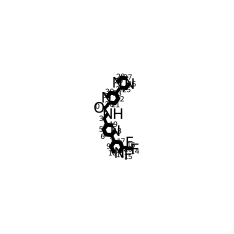 O=C(NCc1ccc(-c2ccnc(C(F)(F)F)c2)nc1)c1ccc(-c2cnccn2)cn1